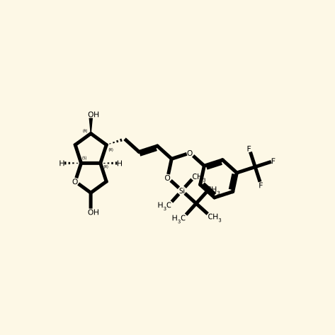 CC(C)(C)[Si](C)(C)OC(C=CC[C@@H]1[C@H]2CC(O)O[C@H]2C[C@H]1O)Oc1cccc(C(F)(F)F)c1